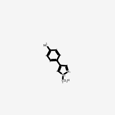 N#Cc1ccc(-c2cnn(C(=O)O)c2)cc1